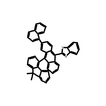 CC1(C)c2ccccc2-c2c(-c3c4ccccc4c(-c4nc5ccccc5s4)c4ccc(-c5cccc6ccccc56)cc34)cccc21